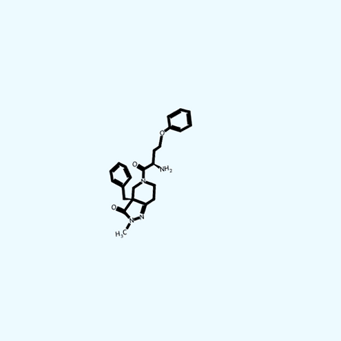 CN1N=C2CCN(C(=O)[C@H](N)CCOc3ccccc3)C[C@@]2(Cc2ccccc2)C1=O